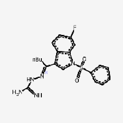 CCCC/C(=N\NC(=N)N)c1cn(S(=O)(=O)c2ccccc2)c2cc(F)ccc12